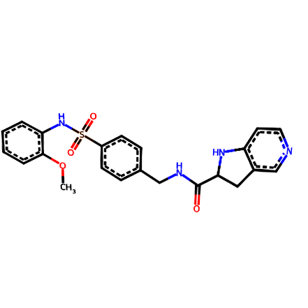 COc1ccccc1NS(=O)(=O)c1ccc(CNC(=O)C2Cc3cnccc3N2)cc1